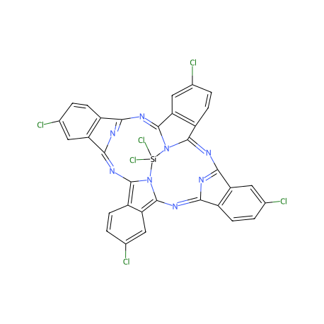 Clc1ccc2c(c1)C1=NC/2=N\c2c3cc(Cl)ccc3c3n2[Si](Cl)(Cl)n2/c(c4ccc(Cl)cc4/c2=N/C2=NC(=N\3)/c3cc(Cl)ccc32)=N\1